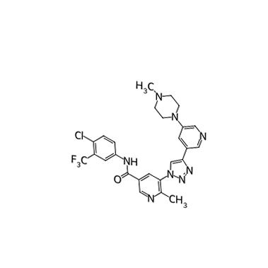 Cc1ncc(C(=O)Nc2ccc(Cl)c(C(F)(F)F)c2)cc1-n1cc(-c2cncc(N3CCN(C)CC3)c2)nn1